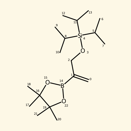 C=C(CO[Si](C(C)C)(C(C)C)C(C)C)B1OC(C)(C)C(C)(C)O1